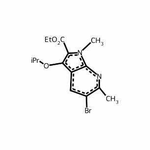 CCOC(=O)c1c(OC(C)C)c2cc(Br)c(C)nc2n1C